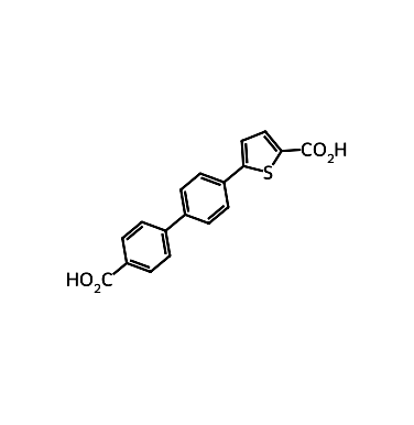 O=C(O)c1ccc(-c2ccc(-c3ccc(C(=O)O)s3)cc2)cc1